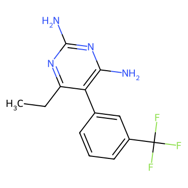 CCc1nc(N)nc(N)c1-c1cccc(C(F)(F)F)c1